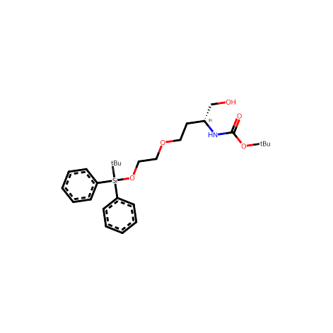 CC(C)(C)OC(=O)N[C@@H](CO)CCOCCO[Si](c1ccccc1)(c1ccccc1)C(C)(C)C